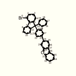 Brc1cccc2c1-c1ccccc1C2(c1ccccc1)c1ccc(-c2ccc3c(c2)oc2ccccc23)cc1